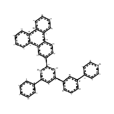 c1ccc(-c2cc(-c3cccc(-c4ccncc4)c3)nc(-c3ccc4c5ccccc5c5ccccc5c4c3)n2)cc1